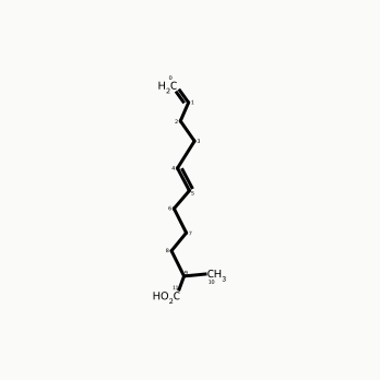 C=CCCC=CCCCC(C)C(=O)O